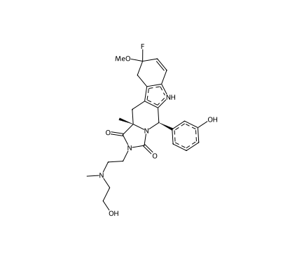 COC1(F)C=Cc2[nH]c3c(c2C1)C[C@@]1(C)C(=O)N(CCN(C)CCO)C(=O)N1[C@@H]3c1cccc(O)c1